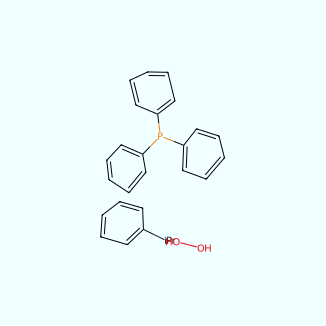 CC(C)c1ccccc1.OO.c1ccc(P(c2ccccc2)c2ccccc2)cc1